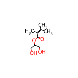 CC(C)=C(C)C(=O)OC(CO)CO